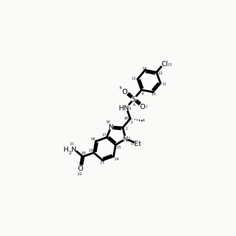 CCn1c([C@@H](C)NS(=O)(=O)c2ccc(Cl)cc2)nc2cc(C(N)=O)ccc21